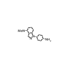 CNc1cccc2c1cnn2-c1ccc(N)cc1